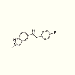 Cn1cc2cc(NCc3ccc(F)cc3)ccc2n1